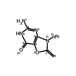 C=C1Oc2c(nc(N)[nH]c2=O)N1CCC